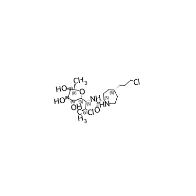 C[C@H](Cl)[C@@H](NC(=O)[C@@H]1CC[C@H](CCCCl)CCN1)[C@H]1O[C@H](C)[C@H](O)[C@@H](O)[C@H]1O